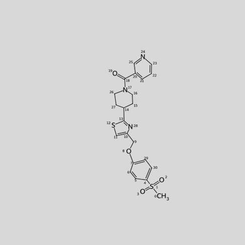 CS(=O)(=O)c1ccc(OCc2csc(C3CCN(C(=O)c4cccnc4)CC3)n2)cc1